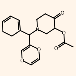 CC(=O)OC1CN(C(C2=CC=CCC2)C2=COC=CO2)CCC1=O